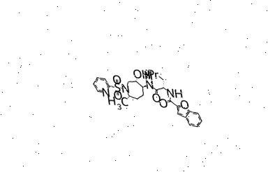 CC(C)C[C@H](NC(=O)c1cc2ccccc2o1)C(=O)N[C@H]1CC[C@H](C)N(S(=O)(=O)c2ccccn2)C[C@@H]1O